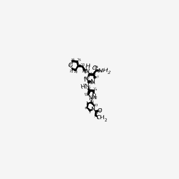 C=CC(=O)N1CCC[C@@H](n2cc(Nc3ncc(C(N)=O)c(NCCC4CCOCC4)n3)cn2)C1